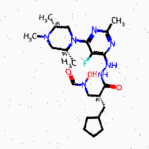 Cc1nc(NNC(=O)[C@H](CC2CCCC2)CN(O)C=O)c(F)c(N2C[C@@H](C)N(C)C[C@H]2C)n1